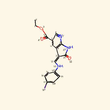 CCOC(=O)c1cnc2c(c1)C(=CNc1ccc(I)cc1)C(=O)N2